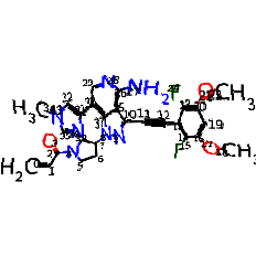 C=CC(=O)N1CC[C@H](n2nc(C#Cc3c(F)c(OC)cc(OC)c3F)c3c(N)ncc(-c4cn(C)cn4)c32)C1